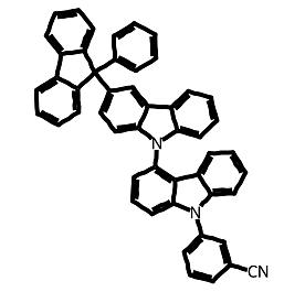 N#Cc1cccc(-n2c3ccccc3c3c(-n4c5ccccc5c5cc(C6(c7ccccc7)c7ccccc7-c7ccccc76)ccc54)cccc32)c1